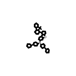 CC1(C)c2ccccc2-c2cccc(-c3cccc4oc5cc(N(c6ccc(-c7ccccc7)cc6)c6ccc(-c7ccccc7)cc6)ccc5c34)c21